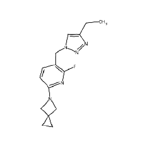 CCc1cn(Cc2ccc(N3CC4(CC4)C3)nc2F)nn1